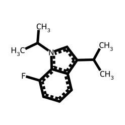 CC(C)c1cn(C(C)C)c2c(F)cccc12